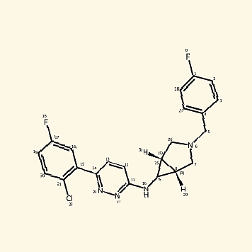 Fc1ccc(CN2C[C@@H]3C(Nc4ccc(-c5cc(F)ccc5Cl)nn4)[C@@H]3C2)cc1